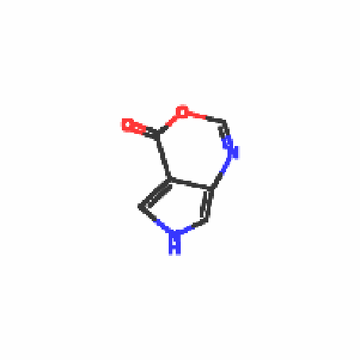 O=c1ocnc2c[nH]cc12